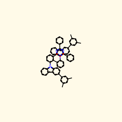 Cc1cc(C)cc(-c2ccc3c(c2)c2ccccc2n3-c2ccccc2-c2c(-c3cc(-c4ccccc4)nc(-c4ccccc4)n3)cccc2-n2c3ccccc3c3cc(-c4cc(C)cc(C)c4)ccc32)c1